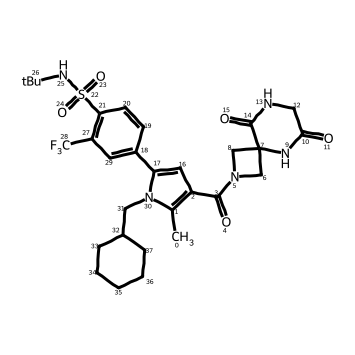 Cc1c(C(=O)N2CC3(C2)NC(=O)CNC3=O)cc(-c2ccc(S(=O)(=O)NC(C)(C)C)c(C(F)(F)F)c2)n1CC1CCCCC1